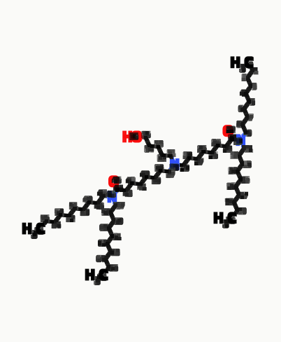 CCCCCCCCCCN(CCCCCCCCCC)C(=O)CCCCCCCN(CCCCCO)CCCCCCCC(=O)N(CCCCCCCCCC)CCCCCCCCCC